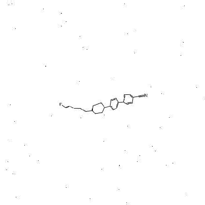 N#Cc1ccc(-c2ccc(C3CCC(CCCC=CF)CC3)cc2)cc1